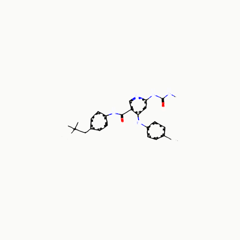 CCNC(=O)Nc1cc(Nc2ccc(C#N)cc2)c(C(=O)Nc2ccc(CC(C)(C)C(=O)O)cc2)cn1